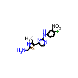 Cc1nc(CN)sc1-c1ccnc(Nc2ccc(F)c([N+](=O)[O-])c2)n1